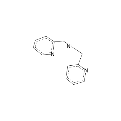 c1ccc([CH2][Ni][CH2]c2ccccn2)nc1